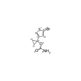 NC(=O)OC1(c2csc(Br)c2)CC1